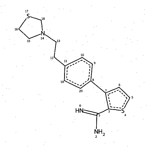 N=C(N)c1sccc1-c1ccc(CCN2CCSC2)cc1